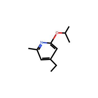 CCc1cc(C)nc(OC(C)C)c1